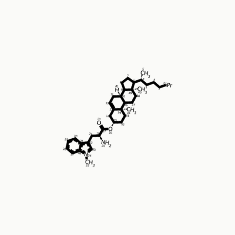 CC(C)CCC[C@@H](C)C1CCC2[C@@H]3CC=C4C[C@@H](OC(=O)[C@@H](N)Cc5cn(C)c6ccccc56)CC[C@]4(C)C3CC[C@@]21C